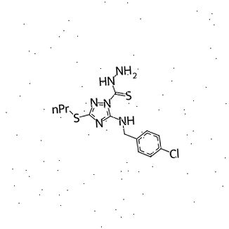 CCCSc1nc(NCc2ccc(Cl)cc2)n(C(=S)NN)n1